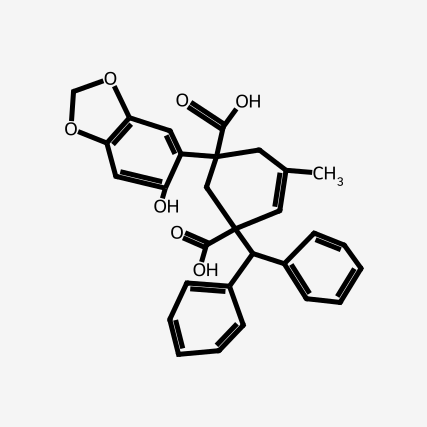 CC1=CC(C(=O)O)(C(c2ccccc2)c2ccccc2)CC(C(=O)O)(c2cc3c(cc2O)OCO3)C1